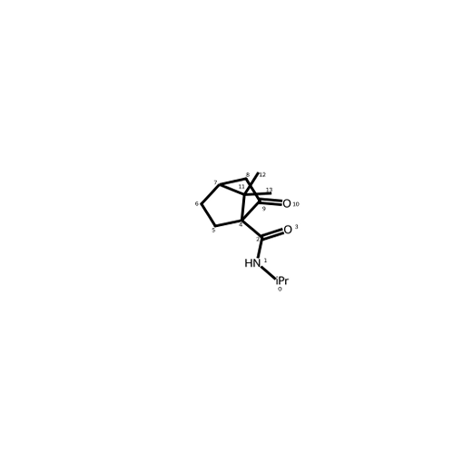 CC(C)NC(=O)C12CCC(CC1=O)C2(C)C